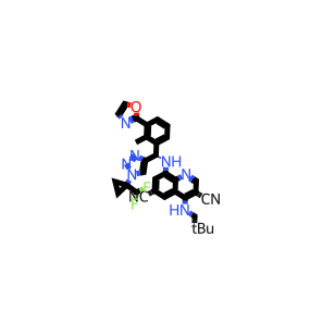 Cc1c(-c2ncco2)cccc1[C@H](Nc1cc(C#N)cc2c(NCC(C)(C)C)c(C#N)cnc12)c1cn(C2(C(F)F)CC2)nn1